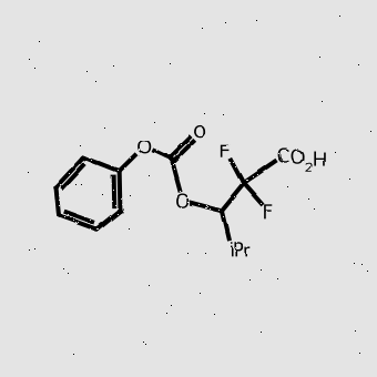 CC(C)C(OC(=O)Oc1ccccc1)C(F)(F)C(=O)O